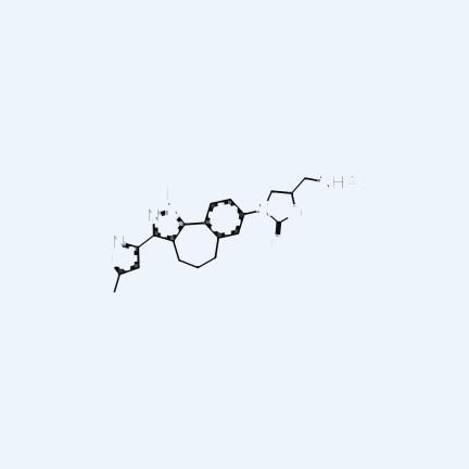 CC(=O)NCC1CN(c2ccc3c(c2)CCCc2c(-c4cc(C)on4)n[nH]c2-3)C(=O)O1